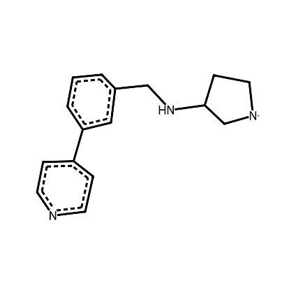 c1cc(CNC2CC[N]C2)cc(-c2ccncc2)c1